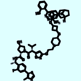 Cc1ncsc1-c1ccc([C@H](C)NC(=O)[C@@H]2C[C@@H](O)CN2C(=O)[C@@H](c2cc(OCCN3CCC(OC4CC(Oc5cc(N6C7CC[C@@H]6CN(c6cc(-c8ccccc8O)nnc6N)C7)ccn5)C4)CC3)no2)C(C)C)c(F)c1